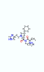 C[C@H](N)C(=O)N(CC(=O)O)C(=O)[C@@H]1CC(C2CCCCC2)CN1CCc1c[nH]cn1